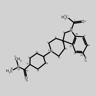 CC(=O)N1CC2(CCN(C3CCC(C(=O)N(C)C)CC3)CC2)c2cc(F)ccc21